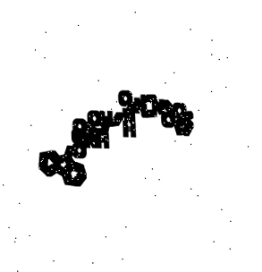 CCC(C)(CC)OC(=O)CN1CCN(C(=O)NCCCCC(NC(=O)OCC2c3ccccc3-c3ccccc32)C(=O)O)CC1